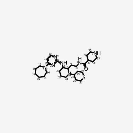 O=C(NCCC1C(Nc2nccc(N3CCCCCC3)n2)CCCN1C1CCSCC1)C1CCNCC1